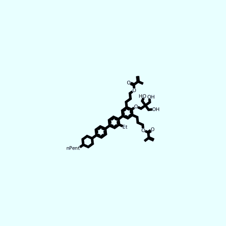 C=C(C)C(=O)OCCCc1cc(-c2ccc(-c3ccc(C4CCC(CCCCC)CC4)cc3)cc2CC)cc(CCCOC(=O)C(=C)C)c1OCC(CO)(CO)CO